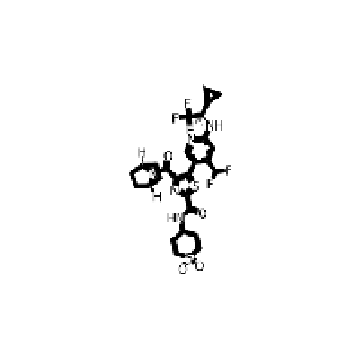 O=C(NC1CCS(=O)(=O)CC1)c1nc(C(=O)N2[C@H]3CC[C@H]2CC3)c(-c2cnc(N[C@@H](C3CC3)C(F)(F)F)cc2C(F)F)s1